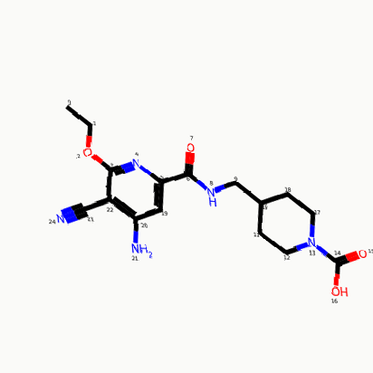 CCOc1nc(C(=O)NCC2CCN(C(=O)O)CC2)cc(N)c1C#N